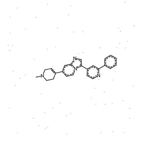 CN1CC=C(c2ccn3c(-c4ccnc(-c5ccccc5)c4)cnc3c2)CC1